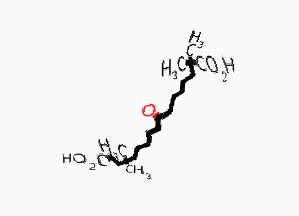 CC(C)(CCCCCC(=O)CCCCCC(C)(C)C(=O)O)CCC(=O)O